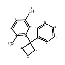 Oc1ccc(O)c(C2(c3ccccc3)CCC2)c1